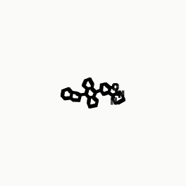 c1ccc2cc(-c3c4ccccc4c(-c4ccc5oc6nccnc6c5c4)c4ccccc34)ccc2c1